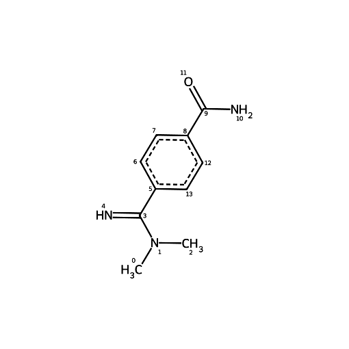 CN(C)C(=N)c1ccc(C(N)=O)cc1